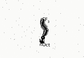 CCCCCCCCc1cnc(-c2ccc(OCC(F)(F)C(F)(F)C(F)(F)OC(F)(F)C(F)(F)C(F)(F)C(F)(F)OC(F)(F)C(F)(F)C(F)(F)C(F)(F)F)cc2)nc1